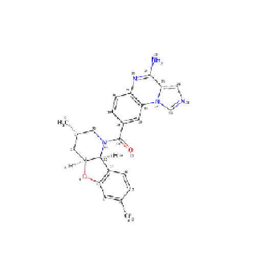 C[C@H]1C[C@@H]2Oc3cc(C(F)(F)F)ccc3[C@@H]2N(C(=O)c2ccc3nc(N)c4cncn4c3c2)C1